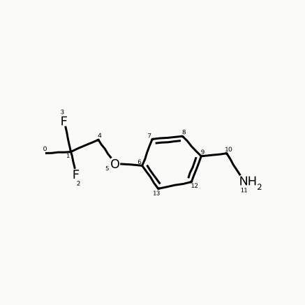 CC(F)(F)COc1ccc(CN)cc1